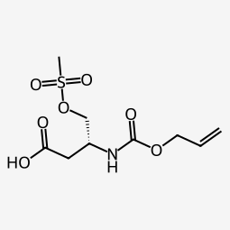 C=CCOC(=O)N[C@@H](COS(C)(=O)=O)CC(=O)O